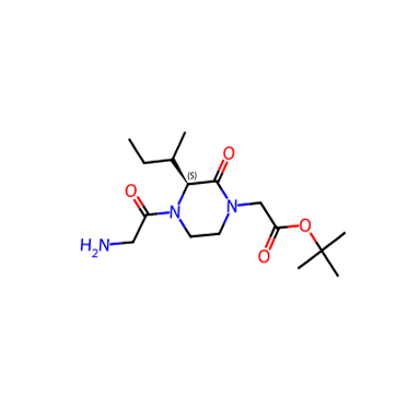 CCC(C)[C@H]1C(=O)N(CC(=O)OC(C)(C)C)CCN1C(=O)CN